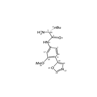 CCCC[C@@H](N)C(=O)Nc1ccc(-c2cnco2)c(OC)c1